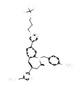 [2H]C([2H])([2H])OCCCn1cc(-c2ccc3c(c2)N(Cc2ccc(OC)cc2)C(=O)CC(c2ncc(C)o2)=C3)cn1